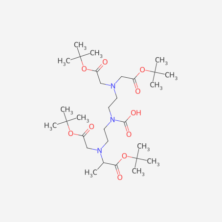 CC(C(=O)OC(C)(C)C)N(CCN(CCN(CC(=O)OC(C)(C)C)CC(=O)OC(C)(C)C)C(=O)O)CC(=O)OC(C)(C)C